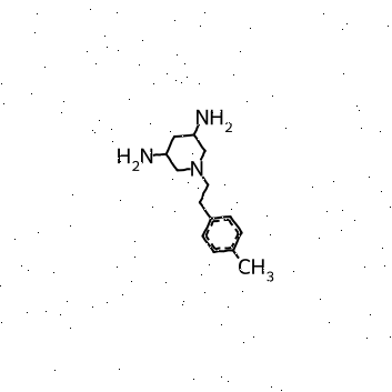 Cc1ccc(CCN2CC(N)CC(N)C2)cc1